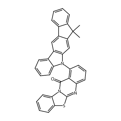 CC1(C)c2ccccc2-c2cc3c4ccccc4n(-c4cccc5nc6sc7ccccc7n6c(=O)c45)c3cc21